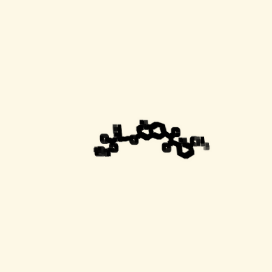 Cc1cccc(C(=O)C(=O)c2ccc3ncc(OCCNC(=O)OC(C)(C)C)cc3c2)n1